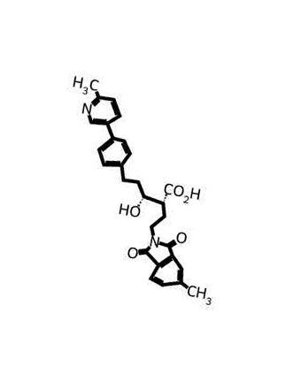 Cc1ccc2c(c1)C(=O)N(CC[C@@H](C(=O)O)[C@H](O)CCc1ccc(-c3ccc(C)nc3)cc1)C2=O